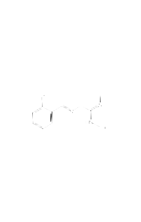 CC(C)(C)/N=C(/NC(C)(C)C)O/N=C/c1ccccc1O